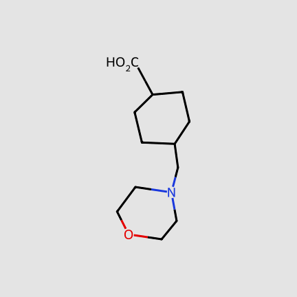 O=C(O)C1CCC(CN2CCOCC2)CC1